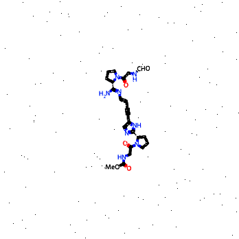 COC(=O)NCC(=O)N1CCC[C@H]1c1ncc(C#C/C=C/N=C(\N)[C@@H]2CCCN2C(=O)CNC=O)[nH]1